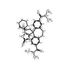 CN(C)C(=O)c1ccc2c(c1)CCc1cc(C(=O)N(C)C)ccc1C2(CCN)c1nc(=O)on1C1CCCCC1